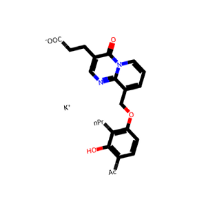 CCCc1c(OCc2cccn3c(=O)c(CCC(=O)[O-])cnc23)ccc(C(C)=O)c1O.[K+]